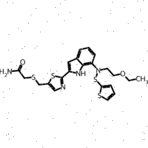 CCOCCN(Sc1cccs1)c1cccc2cc(-c3ncc(CSCC(N)=O)s3)[nH]c12